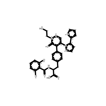 O=C(NC(Cc1ccc(-c2c(-n3nccc3-c3cccs3)cnn(CCO)c2=O)cc1)C(=O)O)c1c(Cl)cccc1Cl